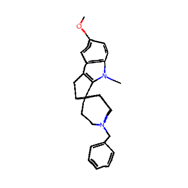 COc1ccc2c(c1)c1c(n2C)C2(CC1)CCN(Cc1ccccc1)CC2